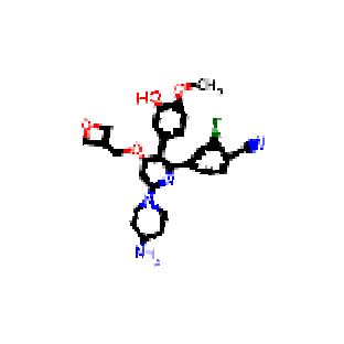 COc1ccc(-c2c(OCC3COC3)cc(N3CCC(N)CC3)nc2-c2ccc(C#N)c(F)c2)cc1O